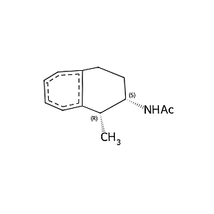 CC(=O)N[C@H]1CCc2ccccc2[C@H]1C